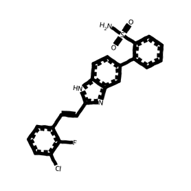 NS(=O)(=O)c1ccccc1-c1ccc2[nH]c(C=Cc3cccc(Cl)c3F)nc2c1